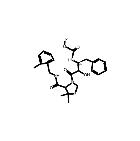 Cc1ccccc1CNC(=O)C1N(C(=O)C(O)[C@H](Cc2ccccc2)NC(=O)OC(C)C)CSC1(C)C